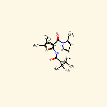 Cc1sc(NC(=O)C2C(C)(C)C2(C)C)c(C(=O)N2CCCC2C)c1C